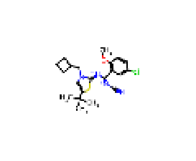 COc1ccc(Cl)cc1C(/N=c1\sc(C(C)(C)C)cn1CC1CCC1)=N\C#N